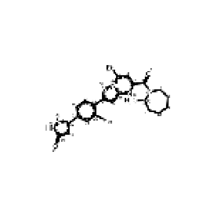 CCc1cc(C(=O)N2CCCCC[C@H]2C)nc2cc(-c3ccc(-c4cc(=O)[nH]o4)cc3F)nn12